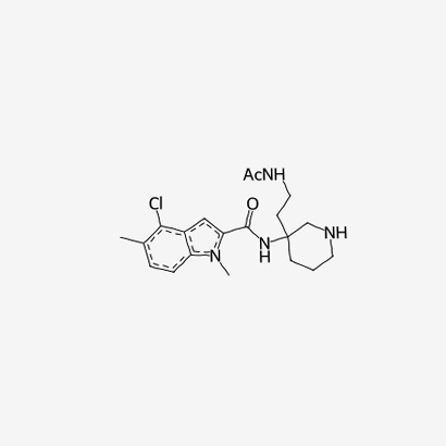 CC(=O)NCCC1(NC(=O)c2cc3c(Cl)c(C)ccc3n2C)CCCNC1